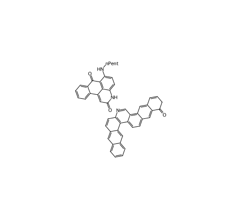 CCCCCNc1ccc2[nH]c(=O)cc3c2c1C(=O)c1ccccc1-3.O=C1CC=Cc2cc3c(ccc4c3cnc3ccc5cc6ccccc6cc5c34)cc21